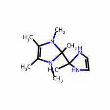 CC1=C(C)N(C)C(C)(C2(C)NC=CN2)N1C